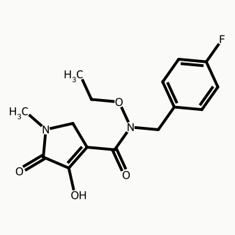 CCON(Cc1ccc(F)cc1)C(=O)C1=C(O)C(=O)N(C)C1